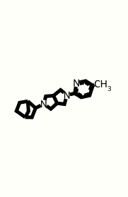 Cc1ccc(N2CC3CN(C4CC5CCC4C5)CC3C2)nc1